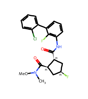 CON(C)C(=O)[C@@H]1C[C@H](F)C[C@H]1C(=O)Nc1cccc(-c2ccccc2Cl)c1F